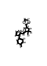 Cc1ccc(-c2cc[nH]c2/C=C2\N=C(C3OCCO3)CC2(C)C)cc1